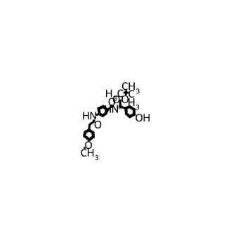 CCOc1ccc(CC(=O)Nc2ccc(C(=O)N[C@H](C(=O)OC(C)(C)C)c3ccc(O)cc3)cc2)cc1